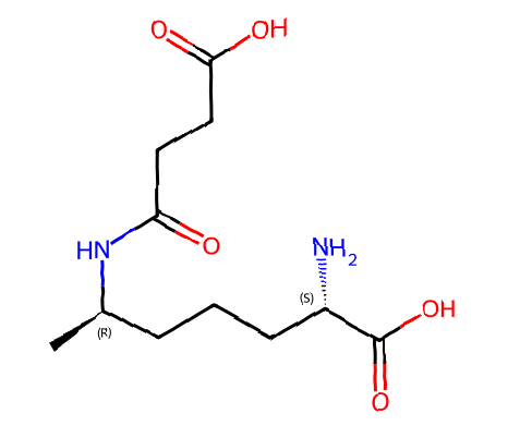 C[C@H](CCC[C@H](N)C(=O)O)NC(=O)CCC(=O)O